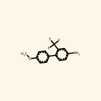 COc1ccc(-c2ccc(N)cc2C(F)(F)F)cc1